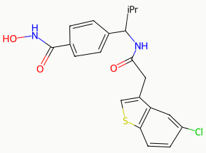 CC(C)C(NC(=O)Cc1csc2ccc(Cl)cc12)c1ccc(C(=O)NO)cc1